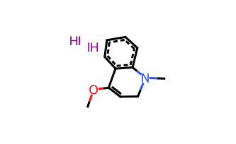 COC1=CCN(C)c2ccccc21.I.I